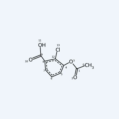 CC(=O)Oc1cccc(C(=O)O)c1Cl